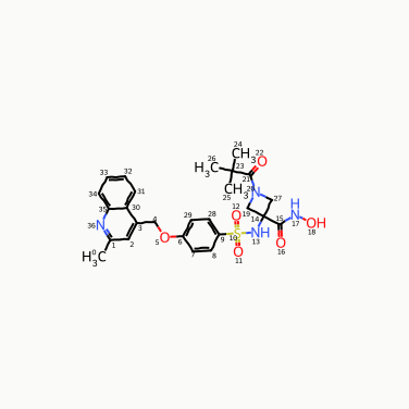 Cc1cc(COc2ccc(S(=O)(=O)NC3(C(=O)NO)CN(C(=O)C(C)(C)C)C3)cc2)c2ccccc2n1